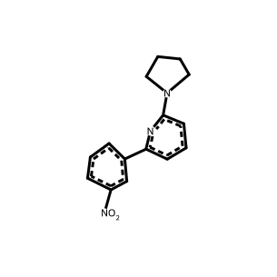 O=[N+]([O-])c1cccc(-c2cccc(N3CCCC3)n2)c1